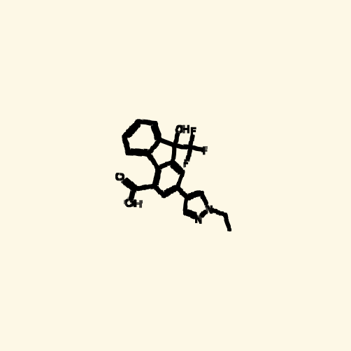 CCn1cc(-c2cc(C(=O)O)c3c(c2)C(O)(C(F)(F)F)c2ccccc2-3)cn1